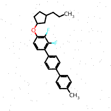 CCCC1CCC(Oc2ccc(-c3ccc(-c4ccc(C)cc4)cc3)c(F)c2F)C1